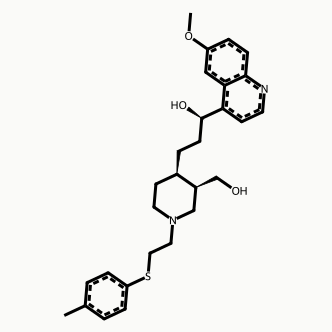 COc1ccc2nccc([C@H](O)CC[C@@H]3CCN(CCSc4ccc(C)cc4)C[C@@H]3CO)c2c1